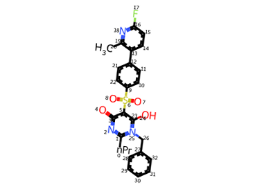 CCCc1nc(=O)c(S(=O)(=O)c2ccc(-c3ccc(F)nc3C)cc2)c(O)n1Cc1ccccc1